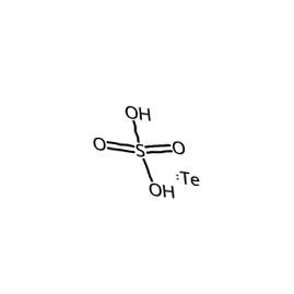 O=S(=O)(O)O.[Te]